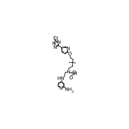 CCn1nnc(-c2ccc(OCCC(C)(C)CCN(CCNc3ccnc(N)c3)[SH](=O)=O)nc2)n1